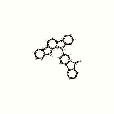 O=C1c2cccnc2-c2ncc(-n3c4ccccc4c4ccc5c6ccccc6oc5c43)cc21